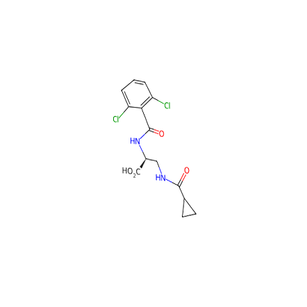 O=C(N[C@@H](CNC(=O)C1CC1)C(=O)O)c1c(Cl)cccc1Cl